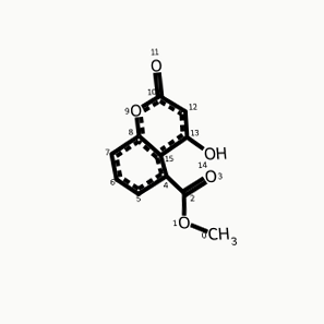 COC(=O)c1cccc2oc(=O)cc(O)c12